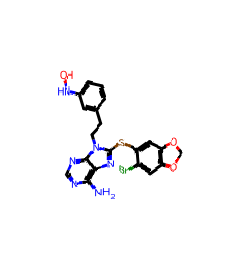 Nc1ncnc2c1nc(Sc1cc3c(cc1Br)OCO3)n2CCc1cccc(NO)c1